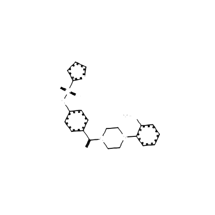 COc1ccccc1N1CCN(C(=O)c2ccc(NS(=O)(=O)c3cccs3)cc2)CC1